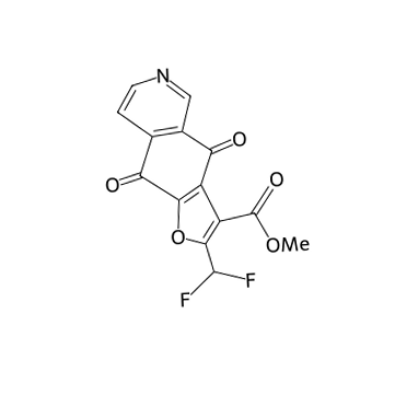 COC(=O)c1c(C(F)F)oc2c1C(=O)c1cnccc1C2=O